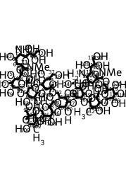 CNC(=O)[C@@]1(OCC2O[C@@H](O[C@@H]3C(CO)O[C@@H](OC4C(O)[C@H](O)[C@@H](CO)O[C@@H]4OC4[C@H](O)C(CO[C@H]5OC(CO)[C@@H](O)C(O)C5O[C@@H]5O[C@@H](CO)[C@@H](O[C@@H]6OC(CO[C@]7(C(=O)NC)C[C@@H](O)[C@@H](N)C([C@H](O)C(O)CO)O7)[C@H](O)C(O)[C@@H]6O)C(O)C5C)O[C@@H](O[C@@H]5C(CO)O[C@@H](O[C@@H]6C(CO)O[C@@H](O)[C@@H](C)C6O)C(C)C5O)[C@@H]4O)[C@@H](C)C3O)[C@@H](O)C(O)[C@H]2O)C[C@@H](O)[C@@H](N)C([C@H](O)C(O)CO)O1